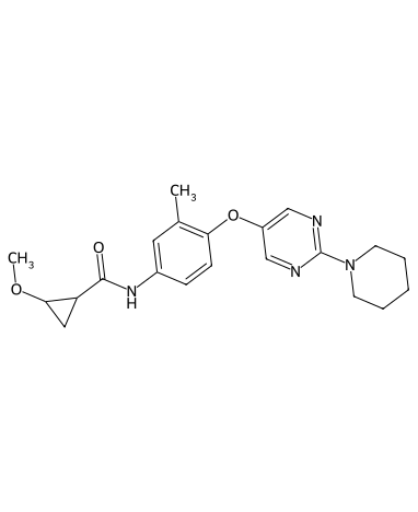 COC1CC1C(=O)Nc1ccc(Oc2cnc(N3CCCCC3)nc2)c(C)c1